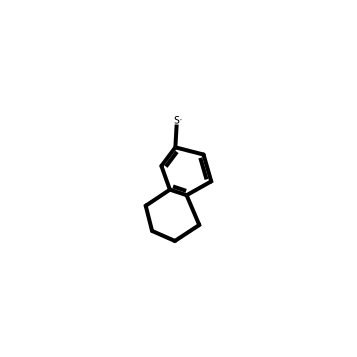 [S]c1ccc2c(c1)CCCC2